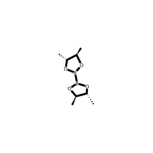 C[C@H]1OB(B2O[C@H](C)[C@@H](C)O2)O[C@@H]1C